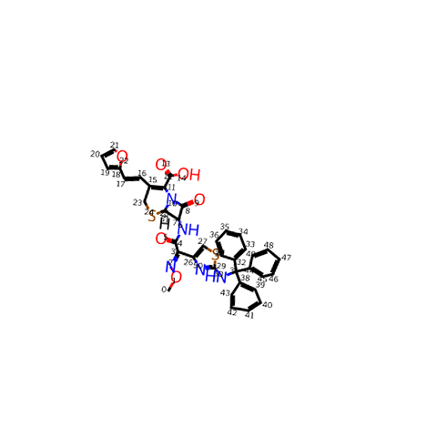 CO/N=C(/C(=O)NC1C(=O)N2C(C(=O)O)=C(/C=C/c3ccco3)CS[C@H]12)c1csc(NC(c2ccccc2)(c2ccccc2)c2ccccc2)n1